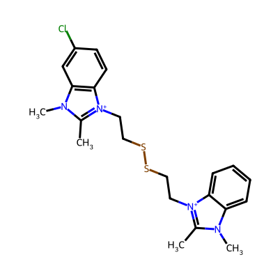 Cc1n(C)c2ccccc2[n+]1CCSSCC[n+]1c(C)n(C)c2cc(Cl)ccc21